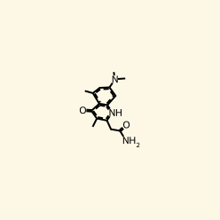 Cc1c(CC(N)=O)[nH]c2cc(N(C)C)cc(C)c2c1=O